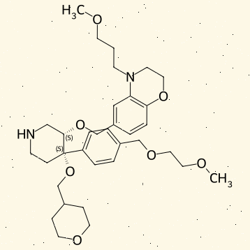 COCCCN1CCOc2ccc(CO[C@H]3CNCC[C@]3(OCC3CCOCC3)c3ccc(COCCOC)cc3)cc21